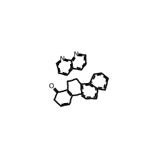 O=C1CC=CC2=C1CCc1c2ccc2ccccc12.c1cnc2ncccc2c1